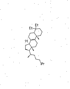 CCC1(CC)CCC[C@]2(C)C3=C(CCC12)[C@@H]1CC[C@H]([C@H](C)CCCC(C)C)[C@@]1(C)CC3